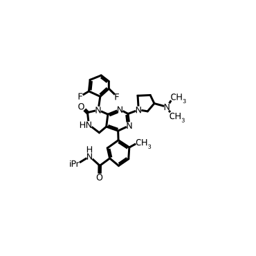 Cc1ccc(C(=O)NC(C)C)cc1-c1nc(N2CCC(N(C)C)C2)nc2c1CNC(=O)N2c1c(F)cccc1F